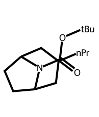 CCCC1CC2CCC(C1)N2C(=O)OC(C)(C)C